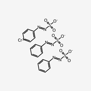 O=S(=O)([O-])N=Nc1ccccc1.O=S(=O)([O-])N=Nc1ccccc1.O=S(=O)([O-])N=Nc1ccccc1.[Cr+3]